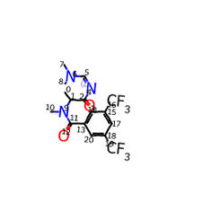 CC(C(=O)/N=C\N(C)C)N(C)C(=O)c1cc(C(F)(F)F)cc(C(F)(F)F)c1